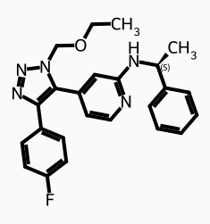 CCOCn1nnc(-c2ccc(F)cc2)c1-c1ccnc(N[C@@H](C)c2ccccc2)c1